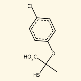 CC(S)(Oc1ccc(Cl)cc1)C(=O)O